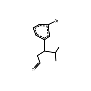 CC(C)C(CC=O)c1cccc(Br)c1